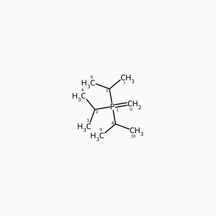 C=P(C(C)C)(C(C)C)C(C)C